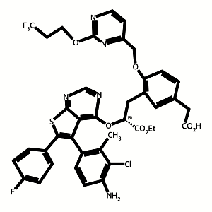 CCOC(=O)[C@@H](Cc1cc(CC(=O)O)ccc1OCc1ccnc(OCCC(F)(F)F)n1)Oc1ncnc2sc(-c3ccc(F)cc3)c(-c3ccc(N)c(Cl)c3C)c12